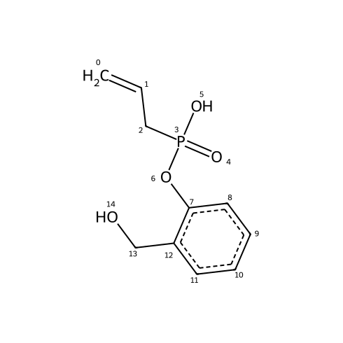 C=CCP(=O)(O)Oc1ccccc1CO